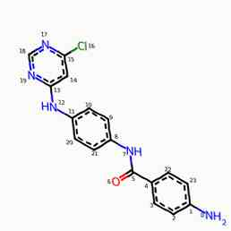 Nc1ccc(C(=O)Nc2ccc(Nc3cc(Cl)ncn3)cc2)cc1